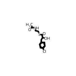 CC(=O)NCCSC(=O)C(O)Cc1ccc(Cl)cc1